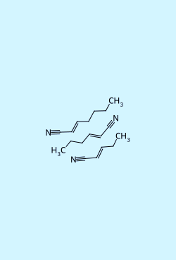 CCC=CC#N.CCCC=CC#N.CCCCC=CC#N